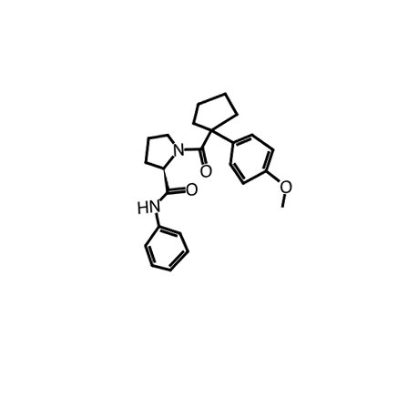 COc1ccc(C2(C(=O)N3CCC[C@@H]3C(=O)Nc3ccccc3)CCCC2)cc1